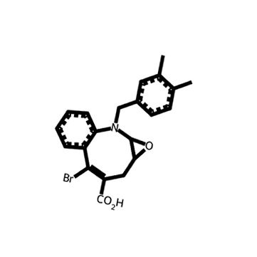 Cc1ccc(CN2c3ccccc3/C(Br)=C(/C(=O)O)CC3OC32)cc1C